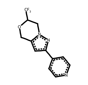 FC(F)(F)C1Cn2nc(-c3ccncc3)cc2CO1